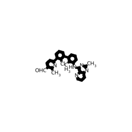 Cc1nc(Nc2cccc(-c3cccc(-c4ccc(C=O)c(C)n4)c3Cl)c2C)c2ncccc2n1